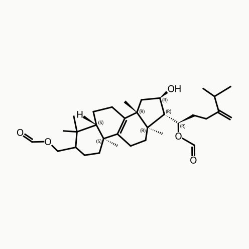 C=C(CC[C@@H](OC=O)[C@H]1[C@H](O)C[C@@]2(C)C3=C(CC[C@]12C)[C@@]1(C)CCC(COC=O)C(C)(C)[C@@H]1CC3)C(C)C